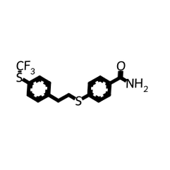 NC(=O)c1ccc(SCCc2ccc(SC(F)(F)F)cc2)cc1